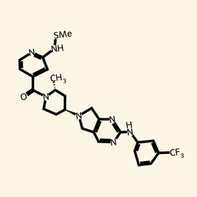 CSNc1cc(C(=O)N2CC[C@H](N3Cc4cnc(Nc5cccc(C(F)(F)F)c5)nc4C3)C[C@H]2C)ccn1